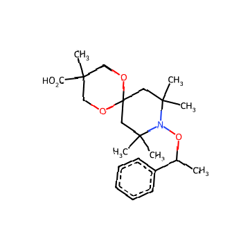 CC(ON1C(C)(C)CC2(CC1(C)C)OCC(C)(C(=O)O)CO2)c1ccccc1